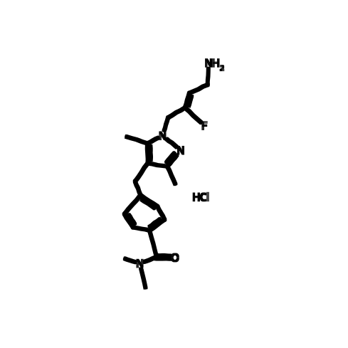 Cc1nn(C/C(F)=C/CN)c(C)c1Cc1ccc(C(=O)N(C)C)cc1.Cl